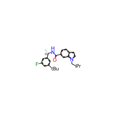 CC(C)Cn1ccc2ccc(C(=O)N[C@@H](C)c3cc(F)cc(C(C)(C)C)c3)cc21